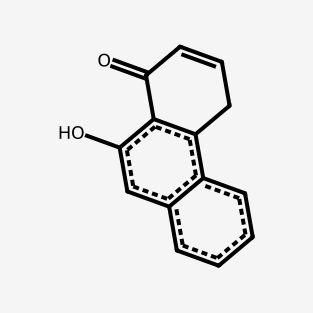 O=C1C=CCc2c1c(O)cc1ccccc21